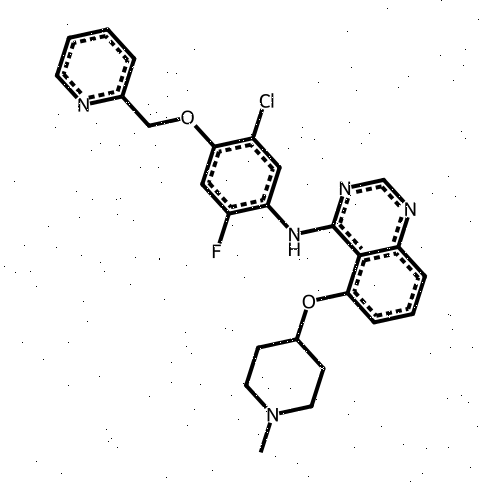 CN1CCC(Oc2cccc3ncnc(Nc4cc(Cl)c(OCc5ccccn5)cc4F)c23)CC1